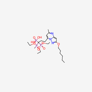 CCCCCCOc1cc2nc(C)cc(CCC(P(=O)(O)O)(P(C)(=O)OCC)P(=O)(OCC)OCC)n2n1